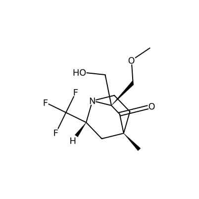 COC[C@@]1(CO)C(=O)[C@]2(C)CCN1[C@@H](C(F)(F)F)C2